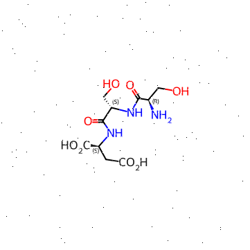 N[C@H](CO)C(=O)N[C@@H](CO)C(=O)N[C@@H](CC(=O)O)C(=O)O